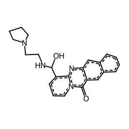 O=c1c2cc3ccccc3cc2nc2c(C(O)NCCN3CCCC3)cccn12